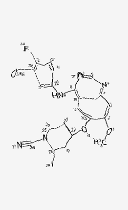 COc1cc2ncnc(Nc3ccc(F)c(Cl)c3)c2cc1OC1CCN(C#N)C(I)C1